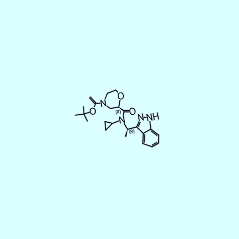 C=C(OC(C)(C)C)N1CCO[C@@H](C(=O)N(C2CC2)[C@H](C)c2n[nH]c3ccccc23)C1